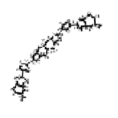 Fc1ccc2sc(-c3ccc(-c4nc5cc6cc7sc(-c8ccc(-c9nc%10cc(F)ccc%10s9)s8)nc7cc6cc5s4)s3)nc2c1